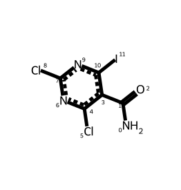 NC(=O)c1c(Cl)nc(Cl)nc1I